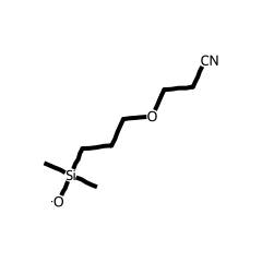 C[Si](C)([O])CCCOCCC#N